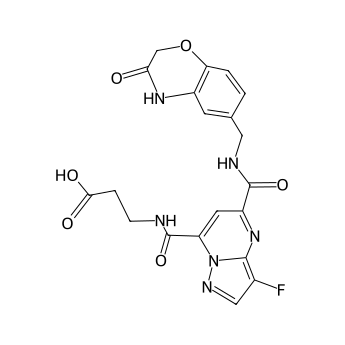 O=C(O)CCNC(=O)c1cc(C(=O)NCc2ccc3c(c2)NC(=O)CO3)nc2c(F)cnn12